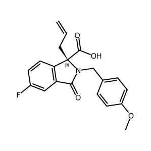 C=CC[C@]1(C(=O)O)c2ccc(F)cc2C(=O)N1Cc1ccc(OC)cc1